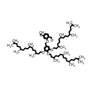 COc1ccc(C[O])c(OCc2cc(OCCC(C)CCC[C@H](C)CCC[C@H](C)CCCC(C)C)c(OCCC(C)CCC[C@H](C)CCC[C@H](C)CCCC(C)C)c(OCCC(C)CCC[C@H](C)CCC[C@H](C)CCCC(C)C)c2)c1